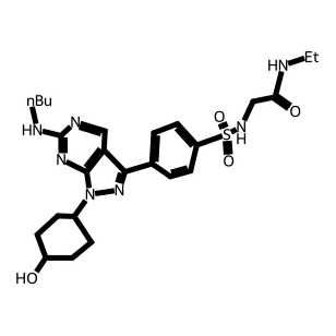 CCCCNc1ncc2c(-c3ccc(S(=O)(=O)NCC(=O)NCC)cc3)nn(C3CCC(O)CC3)c2n1